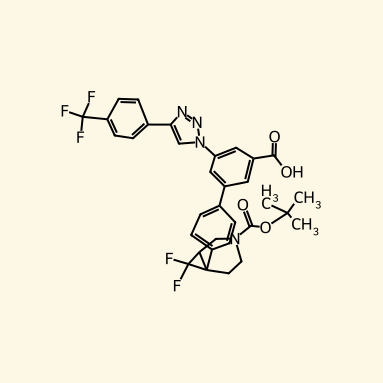 CC(C)(C)OC(=O)N1CCC2(c3ccc(-c4cc(C(=O)O)cc(-n5cc(-c6ccc(C(F)(F)F)cc6)nn5)c4)cc3)C(C1)C2(F)F